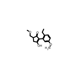 CCc1ccc(ON)cc1C1=C(O)CC(COC)C1=O